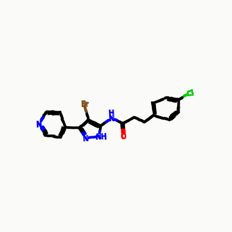 O=C(CCc1ccc(Cl)cc1)Nc1[nH]nc(-c2ccncc2)c1Br